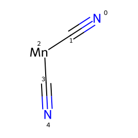 N#[C][Mn][C]#N